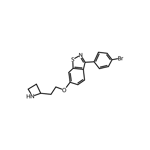 Brc1ccc(-c2nsc3cc(OCCC4CCN4)ccc23)cc1